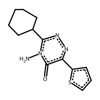 Nn1c(C2CCCCC2)nnc(-c2cccs2)c1=O